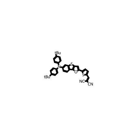 CC(C)(C)c1ccc(N(c2ccc(C(C)(C)C)cc2)c2ccc3c(c2)sc2cc(-c4ccc(C=C(C#N)C#N)s4)oc23)cc1